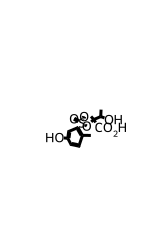 Cc1ccc(O)cc1S(=O)(=O)OC(C)(C(=O)O)C(C)O